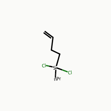 C=CCC[Si](Cl)(Cl)CCC